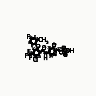 Cc1cc(F)ccc1Oc1cc(C(F)(F)F)c(Cl)cc1C(=O)Nc1cnn(COS(=O)(=O)O)c(=O)c1